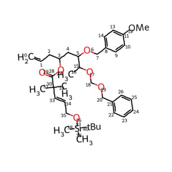 C=CCC(CC(OCc1ccc(OC)cc1)C(C)OCOCc1ccccc1)OC(=O)C(C)(C)C=CCO[Si](C)(C)C(C)(C)C